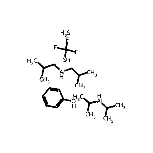 CC(C)[CH2][AlH][CH2]C(C)C.C[CH](C)[AlH][CH](C)C.FC(F)(F)S.Oc1ccccc1.S